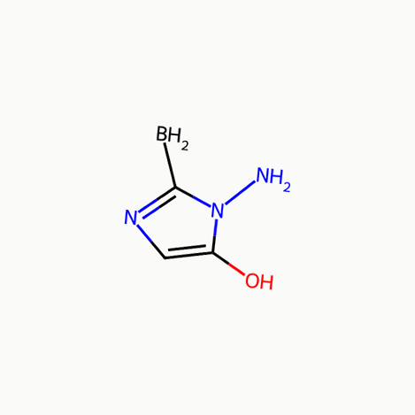 Bc1ncc(O)n1N